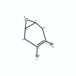 BrC1=C(Br)CC2OC2C1